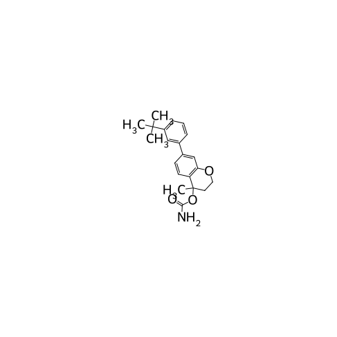 CC(C)(C)c1cccc(-c2ccc3c(c2)OCCC3(C)OC(N)=O)c1